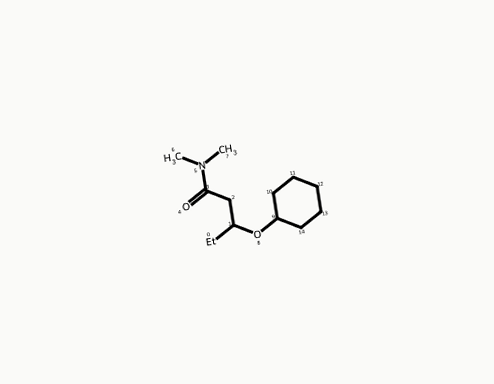 CCC(CC(=O)N(C)C)OC1CCCCC1